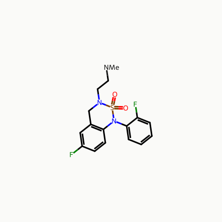 CNCCN1Cc2cc(F)ccc2N(c2ccccc2F)S1(=O)=O